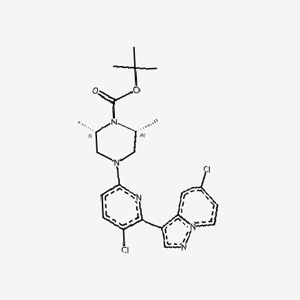 C[C@@H]1CN(c2ccc(Cl)c(-c3cnn4ccc(Cl)cc34)n2)C[C@H](C)N1C(=O)OC(C)(C)C